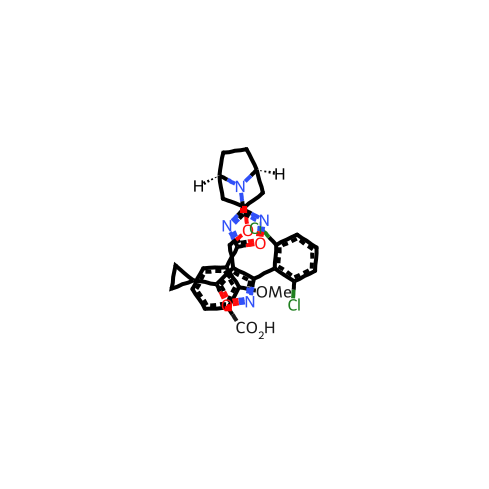 COc1c(C(=O)O)cccc1-c1nc(N2[C@@H]3CC[C@H]2CC(OCc2c(-c4c(Cl)cccc4Cl)noc2C2CC2)C3)no1